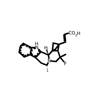 C[C@@H]1Cc2c([nH]c3ccccc23)[C@H]2N1CC(C)(F)C1C3(/C=C/C(=O)O)CC12C3